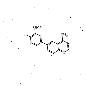 COc1cc(-c2ccc3ncnc(N)c3c2)cnc1F